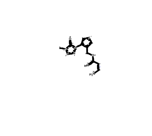 Cn1nnn(-c2cscc2COC(=N)/C=C\N)c1=O